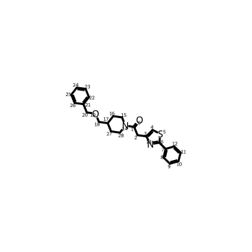 O=C(Cc1csc(-c2ccccc2)n1)N1CCC(COCc2ccccc2)CC1